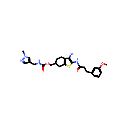 COc1cccc(CCC(=O)Nc2sc3c(c2N)CCC(COC(=O)NCc2cnn(C)c2)C3)c1